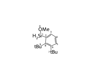 CO[SiH2]c1cccc(C(C)(C)C)c1C(C)(C)C